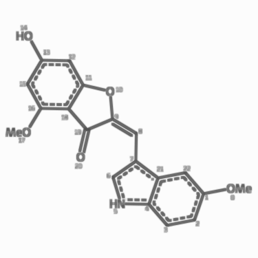 COc1ccc2[nH]cc(C=C3Oc4cc(O)cc(OC)c4C3=O)c2c1